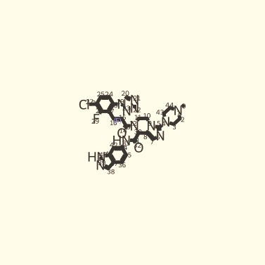 CN1CCN(c2ncc3n2CCN(C(=O)/C=C/c2c(-n4cnnn4)ccc(Cl)c2F)C3C(=O)Nc2ccc3cn[nH]c3c2)CC1